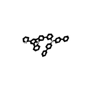 c1ccc(-c2ccc(N(c3ccc(-c4ccccc4)cc3)c3cccc(-c4ccc5c6cc(-c7ccccn7)cc7c8ccccc8n(c5c4)c76)c3)cc2)cc1